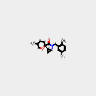 Cc1ccc(C(F)(F)F)cc1CNC(=O)[C@@]1(C2CC2)CCC(C)CO1